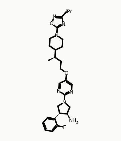 CC(C)c1noc(N2CCC([C@H](C)CCOc3cnc(N4C[C@@H](N)[C@H](c5ccccc5F)C4)nc3)CC2)n1